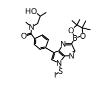 CC(O)CN(C)C(=O)c1ccc(-c2cn(SI)c3ncc(B4OC(C)(C)C(C)(C)O4)nc23)cc1